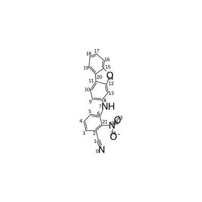 N#Cc1cccc(Nc2ccc3c(c2)oc2ccccc23)c1[N+](=O)[O-]